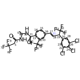 C[C@H](NC(=O)CC(F)(F)F)NC(=O)c1ccc(/C=C/C(c2cc(Cl)c(Cl)c(Cl)c2)C(F)(F)F)cc1C(F)(F)F